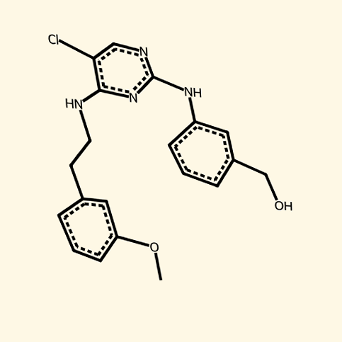 COc1cccc(CCNc2nc(Nc3cccc(CO)c3)ncc2Cl)c1